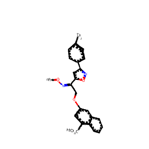 CCCON=C(COc1cc(C(=O)O)c2ccccc2c1)c1cc(-c2ccc(C(F)(F)F)cc2)no1